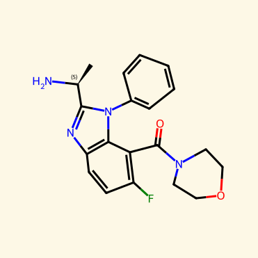 C[C@H](N)c1nc2ccc(F)c(C(=O)N3CCOCC3)c2n1-c1ccccc1